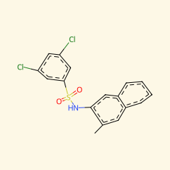 Cc1cc2ccccc2cc1NS(=O)(=O)c1cc(Cl)cc(Cl)c1